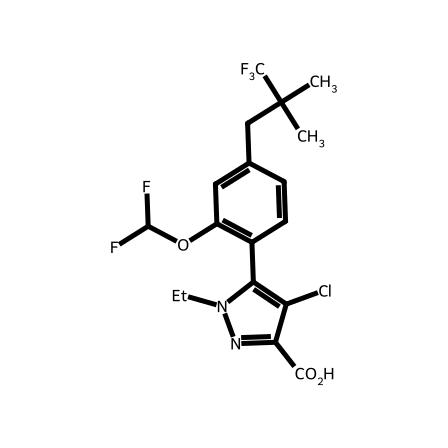 CCn1nc(C(=O)O)c(Cl)c1-c1ccc(CC(C)(C)C(F)(F)F)cc1OC(F)F